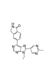 CCn1c(-c2cnc(C)nc2)nc2c(-c3ccc4c(c3)CNC4=O)ncnc21